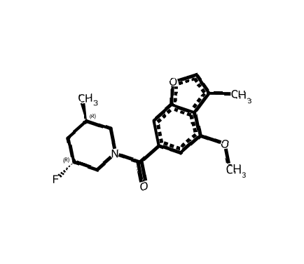 COc1cc(C(=O)N2C[C@H](C)C[C@@H](F)C2)cc2occ(C)c12